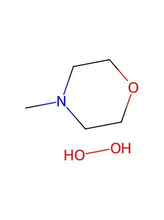 CN1CCOCC1.OO